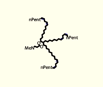 CCCCC/C=C\C/C=C\CCCCCCCCC1OC(CCNC)OC(CCCCCCC/C=C\C/C=C\CCCCC)C1CCCCCCC/C=C\C/C=C\CCCCC